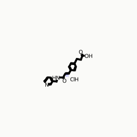 Cl.O=C(O)CCc1ccc(/C=C/C(=O)NCc2cccnc2)cc1